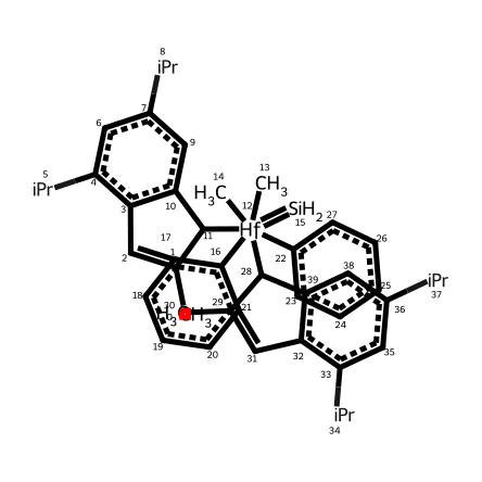 CC1=Cc2c(C(C)C)cc(C(C)C)cc2[CH]1[Hf]([CH3])([CH3])(=[SiH2])([c]1ccccc1)([c]1ccccc1)[CH]1C(C)=Cc2c(C(C)C)cc(C(C)C)cc21